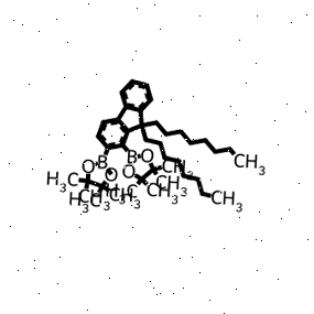 CCCCCCCCC1(CCCCCCCC)c2ccccc2-c2ccc(B3OC(C)(C)C(C)(C)O3)c(B3OC(C)(C)C(C)(C)O3)c21